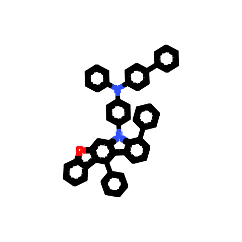 c1ccc(-c2ccc(N(c3ccccc3)c3ccc(-n4c5cc6oc7ccccc7c6c(-c6ccccc6)c5c5cccc(-c6ccccc6)c54)cc3)cc2)cc1